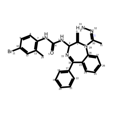 C=C1C(NC(=O)Nc2ccc(Br)cc2C)N=C(c2ccccc2)c2ccccc2N1/C(C)=N\N